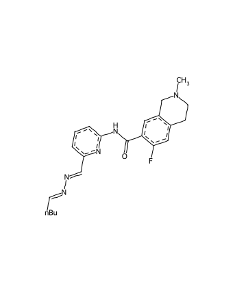 CCCC/C=N/N=C/c1cccc(NC(=O)c2cc3c(cc2F)CCN(C)C3)n1